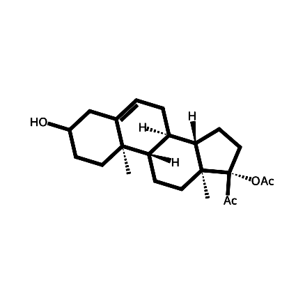 CC(=O)O[C@@]1(C(C)=O)CC[C@H]2[C@@H]3CC=C4CC(O)CC[C@]4(C)[C@H]3CC[C@@]21C